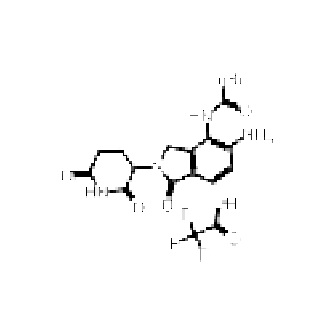 CCCCC(=O)Nc1c(N)ccc2c1CN(C1CCC(=O)NC1=O)C2=O.O=C(O)C(F)(F)F